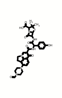 CC1(C)SC2C(NC(=O)C(NC(=O)c3cn4c5c(c(N6CCN(C=O)CC6)ccc5c3=O)CC4)c3ccc(O)cc3)C(=O)N2C1C(=O)O